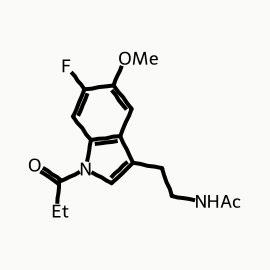 CCC(=O)n1cc(CCNC(C)=O)c2cc(OC)c(F)cc21